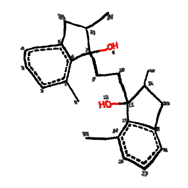 Cc1cccc2c1C(O)(CCC1(O)c3c(C)cccc3CC1C)C(C)C2